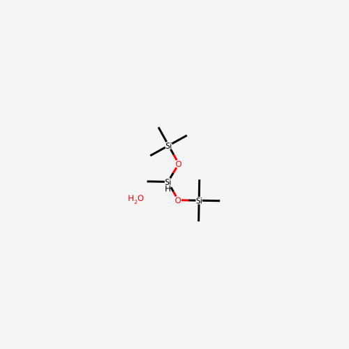 C[SiH](O[Si](C)(C)C)O[Si](C)(C)C.O